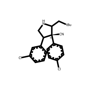 CC(C)(C)CC1NCC(c2cccc(Cl)c2)[C@@]1(C#N)c1ccc(Cl)cc1